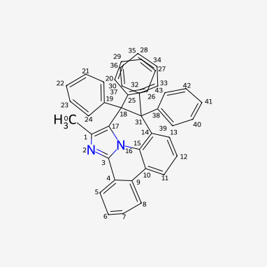 Cc1nc2c3ccccc3c3cccc4c3n2c1C(c1ccccc1)(c1ccccc1)C4(c1ccccc1)c1ccccc1